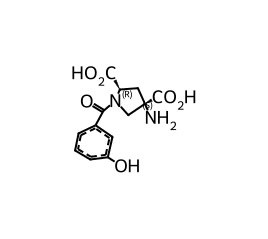 N[C@@]1(C(=O)O)C[C@H](C(=O)O)N(C(=O)c2cccc(O)c2)C1